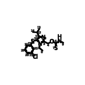 CCn1c(COC(=S)NC)nc(C(C)C)c1Sc1cccc(Cl)c1